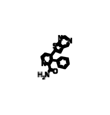 NC(=O)c1nccc(-c2cc3cncnc3s2)c1-c1ccccc1